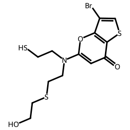 O=c1cc(N(CCS)CCSCCO)oc2c(Br)csc12